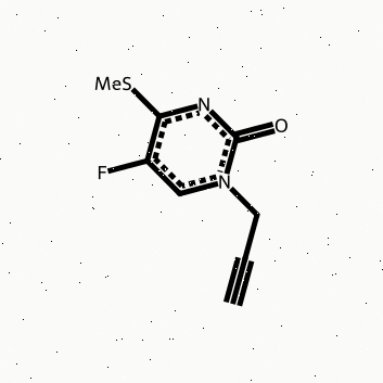 C#CCn1cc(F)c(SC)nc1=O